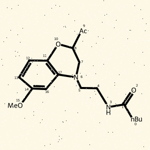 CCCCC(=O)NCCN1CC(C(C)=O)Oc2ccc(OC)cc21